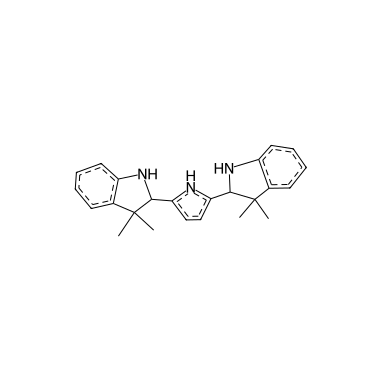 CC1(C)c2ccccc2NC1c1ccc(C2Nc3ccccc3C2(C)C)[nH]1